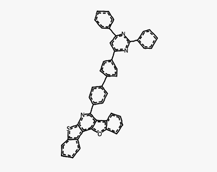 c1ccc(-c2cc(-c3ccc(-c4ccc(-c5nc6sc7ccccc7c6c6oc7ccccc7c56)cc4)cc3)nc(-c3ccccc3)n2)cc1